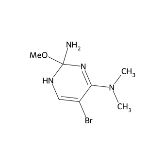 COC1(N)N=C(N(C)C)C(Br)=CN1